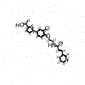 CC(O)c1ccc(-c2ccc(OCCNC(=O)/C=C/c3cccnc3)c(Cl)c2)s1